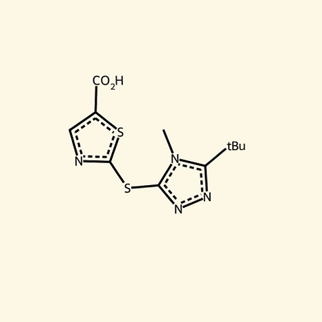 Cn1c(Sc2ncc(C(=O)O)s2)nnc1C(C)(C)C